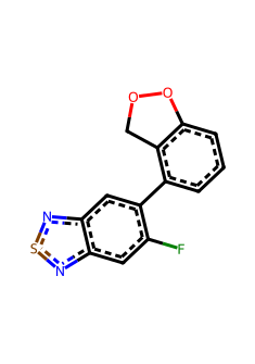 Fc1cc2nsnc2cc1-c1cccc2c1COO2